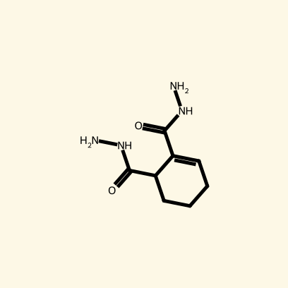 NNC(=O)C1=CCCCC1C(=O)NN